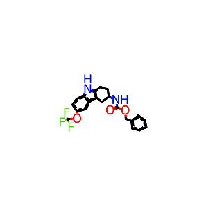 O=C(NC1CCc2[nH]c3ccc(OC(F)(F)F)cc3c2C1)OCc1ccccc1